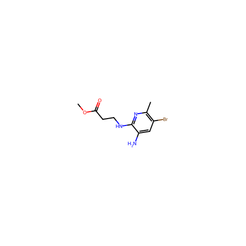 COC(=O)CCNc1nc(C)c(Br)cc1N